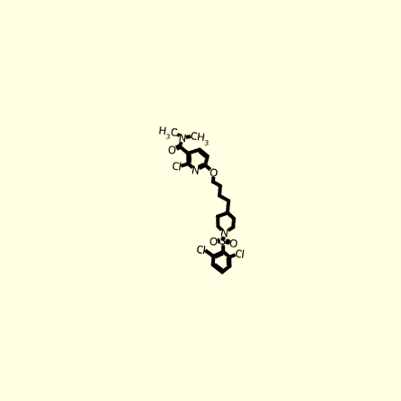 CN(C)C(=O)c1ccc(OCCCCC2CCN(S(=O)(=O)c3c(Cl)cccc3Cl)CC2)nc1Cl